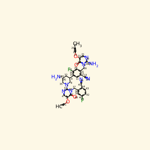 C#COc1cnc(N2CC(c3cc(C#N)c(Cn4c(N)ncc(OC#CC)c4=O)cc3F)C[C@@H](N)C2)n(Cc2cc(F)ccc2C#N)c1=O